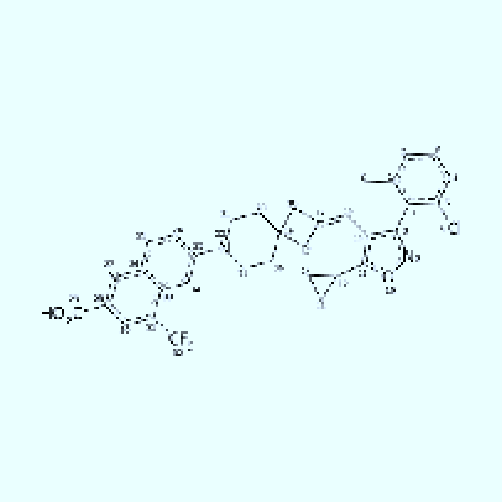 Cc1cccc(Cl)c1-c1noc(C2CC2)c1C=C1CC2(CCN(c3ccc4nc(C(=O)O)cc(C(F)(F)F)c4c3)CC2)C1